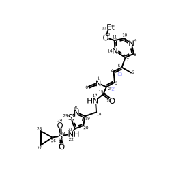 C=N/C(=C\C=C(/C)c1cncc(OCC)n1)C(=O)NCc1cc(NS(=O)(=O)C2CC2)sn1